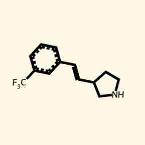 FC(F)(F)c1cccc(C=CC2CCNC2)c1